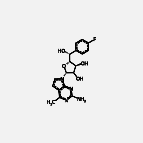 Cc1nc(N)nc2c1ccn2[C@@H]1O[C@H]([C@H](O)c2ccc(F)cc2)[C@@H](O)C1O